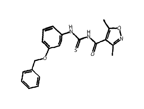 Cc1noc(C)c1C(=O)NC(=S)Nc1cccc(OCc2ccccc2)c1